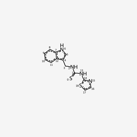 S=C(NCc1c[nH]c2ccccc12)Nc1nccs1